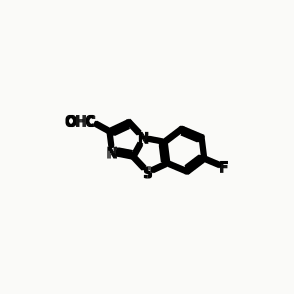 O=Cc1cn2c(n1)sc1cc(F)ccc12